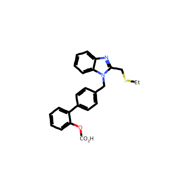 CCSCc1nc2ccccc2n1Cc1ccc(-c2ccccc2OC(=O)O)cc1